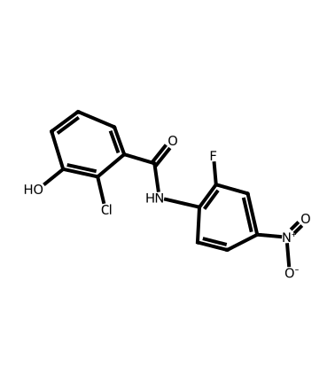 O=C(Nc1ccc([N+](=O)[O-])cc1F)c1cccc(O)c1Cl